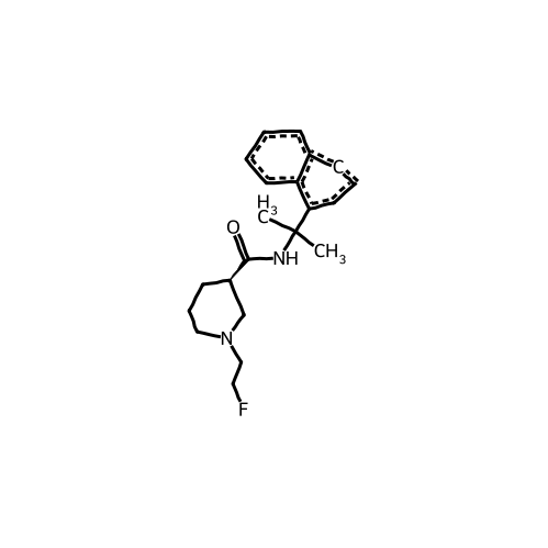 CC(C)(NC(=O)[C@@H]1CCCN(CCF)C1)c1cccc2ccccc12